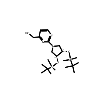 CC(C)(C)[Si](C)(C)O[C@H]1CN(c2nccc(CO)n2)C[C@@H]1O[Si](C)(C)C(C)(C)C